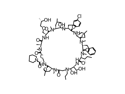 CCCN1CC(=O)N(C)[C@@H](CC(C)C)C(=O)N[C@H](C(=O)N2CCCCC2)CC(=O)N(C)[C@@H](C)C(=O)N[C@@H](COC[C@H](C)O)C(=O)N(C)[C@@H](CC(C)C)C(O)N(C)[C@@H](Cc2cccc(Cl)c2)C(=O)N[C@@H](CC(C)C)C(=O)N(C)[C@@H](Cc2ccccc2)C(=O)N(C)[C@@H]([C@@H](C)CC)C(=O)N[C@@H]([C@@H](C)O)C1O